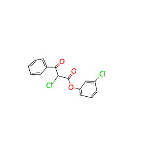 O=C(Oc1cccc(Cl)c1)C(Cl)C(=O)c1ccccc1